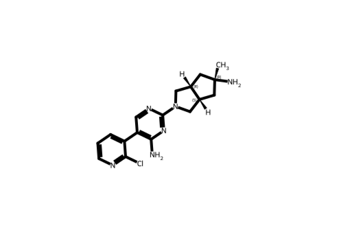 C[C@]1(N)C[C@H]2CN(c3ncc(-c4cccnc4Cl)c(N)n3)C[C@H]2C1